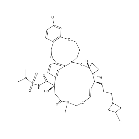 CN1CC/C=C/[C@H](OCCN2CC(F)C2)[C@@H]2CC[C@H]2CN2CCCCc3cc(Cl)ccc3COc3ccc(cc32)[C@@](O)(C(=O)NS(=O)(=O)N(C)C)CC1=O